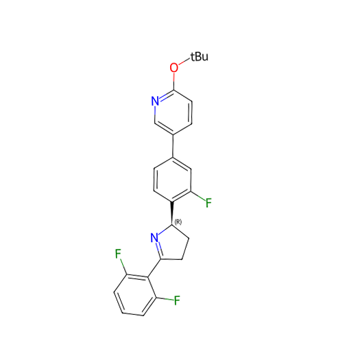 CC(C)(C)Oc1ccc(-c2ccc([C@H]3CCC(c4c(F)cccc4F)=N3)c(F)c2)cn1